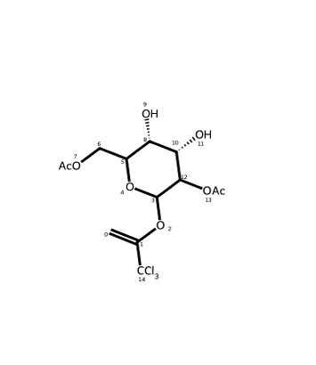 C=C(OC1OC(COC(C)=O)[C@H](O)[C@H](O)C1OC(C)=O)C(Cl)(Cl)Cl